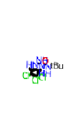 Cc1c(Cl)c(Cl)c(Cl)c(C)c1NC(=N)NC(=O)NC(C)(C)C